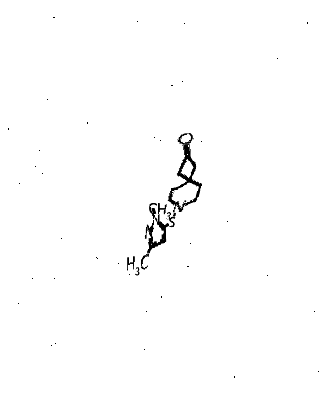 Cc1cc(SN2CCC3(CC2)CC(=O)C3)n(C)n1